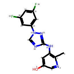 Cc1ncc(O)cc1Nc1ncn(-c2cc(F)cc(F)c2)n1